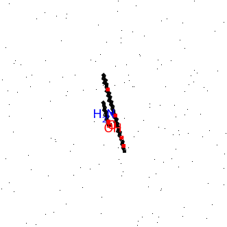 CCCCCCCCCCCC(=O)O.CCCCCCCCCCCCCCCCCCC(N)CCCCCCCCCCCCCCCCCC